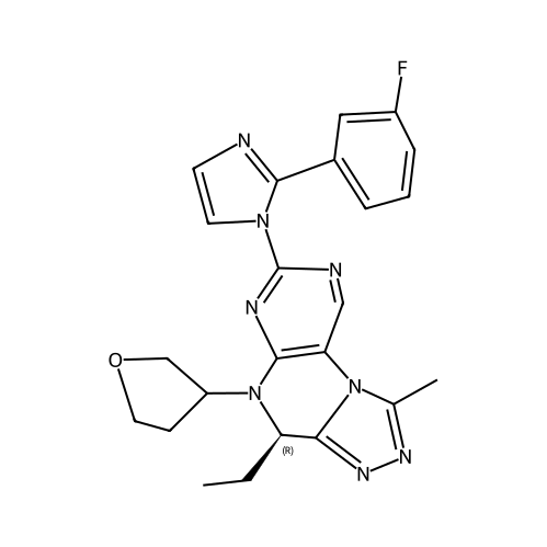 CC[C@@H]1c2nnc(C)n2-c2cnc(-n3ccnc3-c3cccc(F)c3)nc2N1C1CCOC1